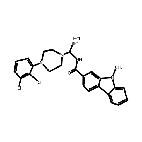 CCCC(NC(=O)c1ccc2c3ccccc3n(C)c2c1)N1CCN(c2cccc(Cl)c2Cl)CC1.Cl